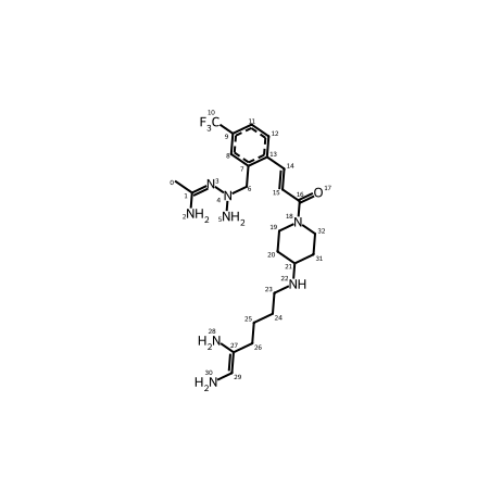 C/C(N)=N/N(N)Cc1cc(C(F)(F)F)ccc1/C=C/C(=O)N1CCC(NCCCC/C(N)=C/N)CC1